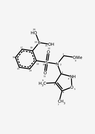 COCN(C1NOC(C)=C1C)S(=O)(=O)c1ccccc1B(O)O